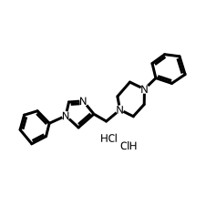 Cl.Cl.c1ccc(N2CCN(Cc3cn(-c4ccccc4)cn3)CC2)cc1